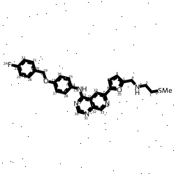 CSCCNCc1ccc(-c2cc3c(Nc4ccc(OCc5ccc(F)cc5)cc4)ncnc3cn2)o1